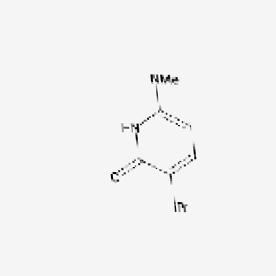 CNc1ccc(C(C)C)c(=O)[nH]1